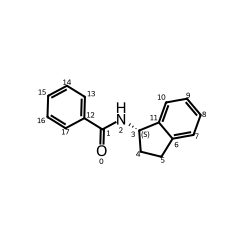 O=C(N[C@H]1CCc2ccccc21)c1ccccc1